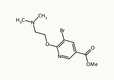 COC(=O)c1cnc(OCCN(C)C)c(Br)c1